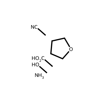 C1CCOC1.CC#N.CC(=O)O.CO.N